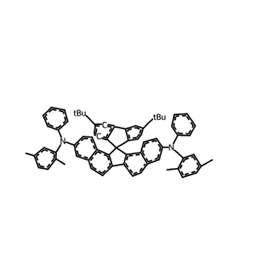 Cc1ccc(C)c(N(c2ccccc2)c2ccc3c4c(ccc3c2)-c2ccc3cc(N(c5ccccc5)c5cc(C)ccc5C)ccc3c2C42c3ccc(C(C)(C)C)cc3-c3cc(C(C)(C)C)ccc32)c1